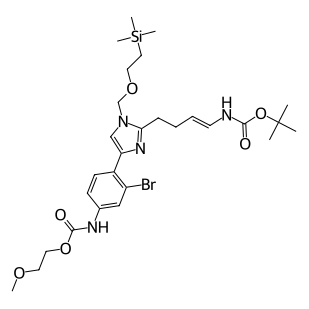 COCCOC(=O)Nc1ccc(-c2cn(COCC[Si](C)(C)C)c(CCC=CNC(=O)OC(C)(C)C)n2)c(Br)c1